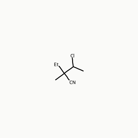 CCC(C)(C#N)C(C)Cl